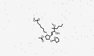 CCCCC(C)(OC)C(O)/C=C/[C@@H]1[C@@H](CCCCCCC(=O)OC)[C@@H](OC(C)=O)C[C@H]1OC1CCCCO1